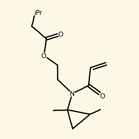 C=CC(=O)N(CCOC(=O)CC(C)C)C1(C)CC1C